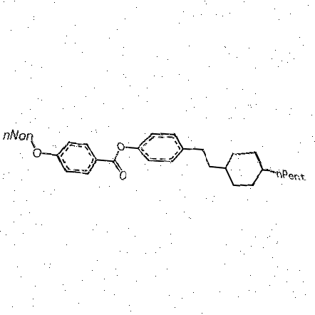 CCCCCCCCCOc1ccc(C(=O)Oc2ccc(CCC3CCC(CCCCC)CC3)cc2)cc1